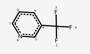 FC(F)(F)c1[c]nccc1